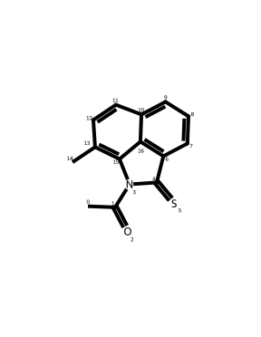 CC(=O)N1C(=S)c2cccc3ccc(C)c1c23